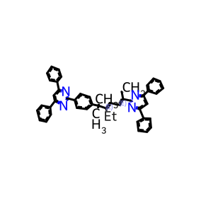 C=C/C(=C\C=C(/CC)C(C)(C)c1ccc(-c2nc(-c3ccccc3)cc(-c3ccccc3)n2)cc1)c1nc(-c2ccccc2)cc(-c2ccccc2)n1